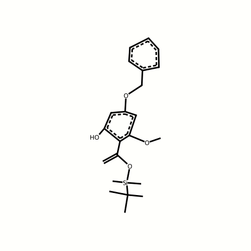 C=C(O[Si](C)(C)C(C)(C)C)c1c(O)cc(OCc2ccccc2)cc1OC